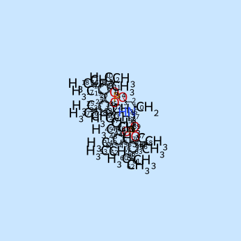 C=C(CCOp1oc2c(C(C)(C)C)cc(C(C)(C)C)cc2c2cc(C(C)(C)C)cc(C(C)(C)C)c2o1)NCCOp1oc2c(C(C)(C)C)cc(C(C)(C)C)cc2c2cc(C(C)(C)C)cc(C(C)(C)C)c2o1